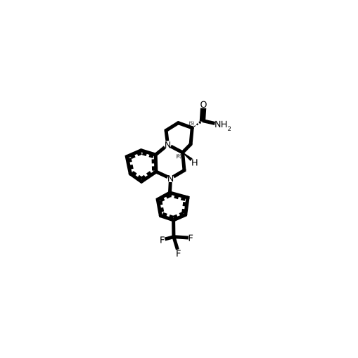 NC(=O)[C@H]1CCN2c3ccccc3N(c3ccc(C(F)(F)F)cc3)C[C@H]2C1